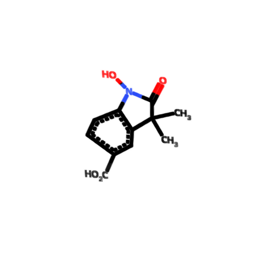 CC1(C)C(=O)N(O)c2ccc(C(=O)O)cc21